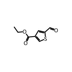 CCOC(=O)c1csc(C=O)c1